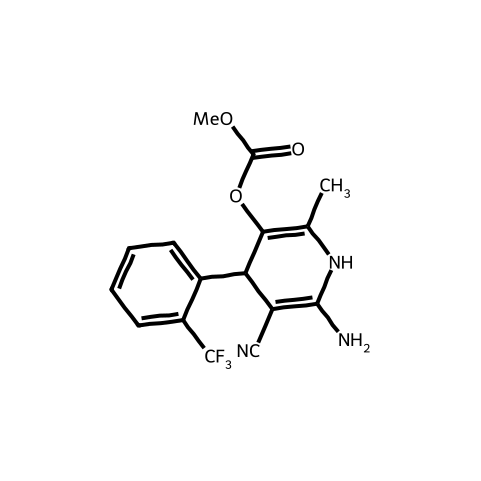 COC(=O)OC1=C(C)NC(N)=C(C#N)C1c1ccccc1C(F)(F)F